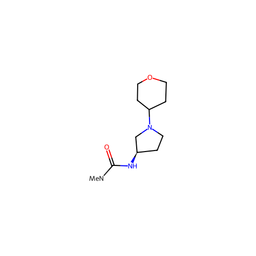 CNC(=O)N[C@@H]1CCN(C2CCOCC2)C1